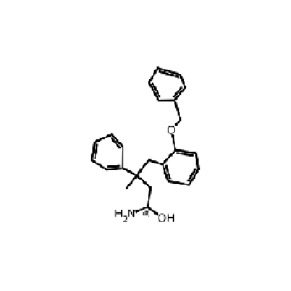 CC(Cc1ccccc1OCc1ccccc1)(C[C@H](N)O)c1ccccc1